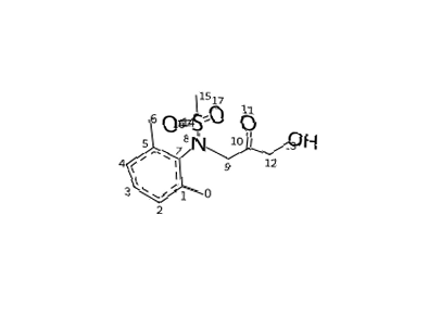 Cc1cccc(C)c1N(CC(=O)CO)S(C)(=O)=O